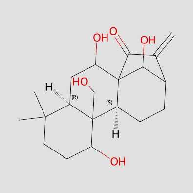 C=C1C(=O)C23C(O)C[C@@H]4C(C)(C)CCC(O)C4(CO)[C@@H]2CCC1C3O